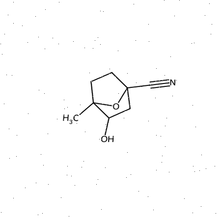 CC12CCC(C#N)(CC1O)O2